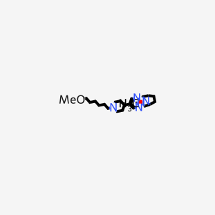 COCCCCCCN1CCC(c2cnc(N3C4CCC3CN(C)C4)nc2)CC1